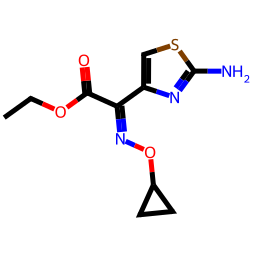 CCOC(=O)/C(=N/OC1CC1)c1csc(N)n1